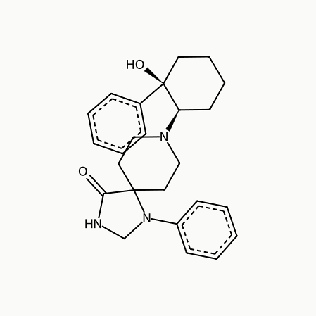 O=C1NCN(c2ccccc2)C12CCN([C@@H]1CCCC[C@@]1(O)c1ccccc1)CC2